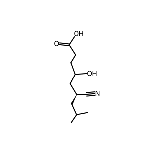 CC(C)C[C@H](C#N)CC(O)CCC(=O)O